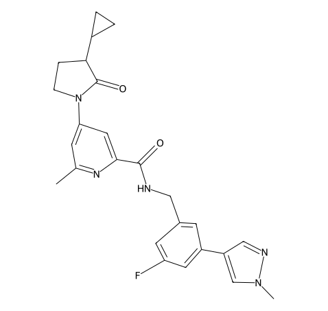 Cc1cc(N2CCC(C3CC3)C2=O)cc(C(=O)NCc2cc(F)cc(-c3cnn(C)c3)c2)n1